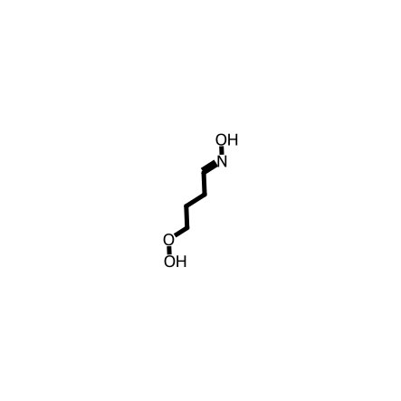 ON=CCCCOO